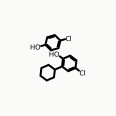 Oc1ccc(Cl)cc1.Oc1ccc(Cl)cc1C1CCCCC1